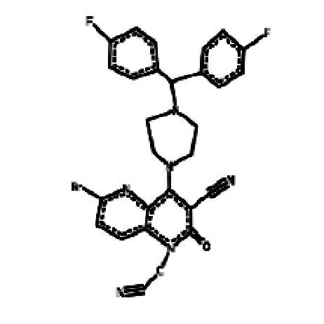 N#CCn1c(=O)c(C#N)c(N2CCN(C(c3ccc(F)cc3)c3ccc(F)cc3)CC2)c2nc(Br)ccc21